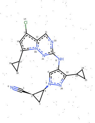 N#C[C@@H]1C[C@@H]1n1cc(Nc2ncc3c(Cl)cc(C4CC4)n3n2)c(C2CC2)n1